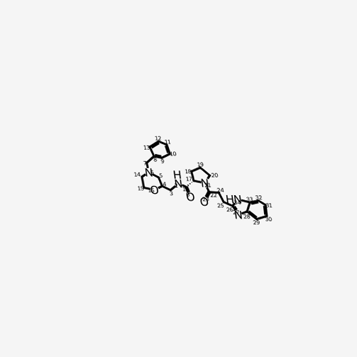 O=C(NCC1CN(Cc2ccccc2)CCO1)[C@@H]1CCCN1C(=O)CCc1nc2ccccc2[nH]1